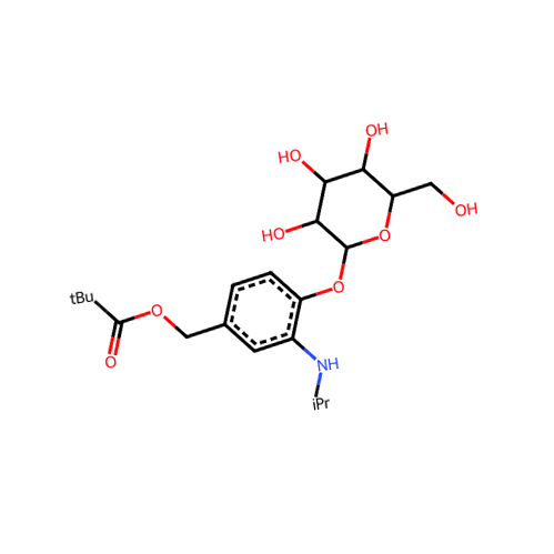 CC(C)Nc1cc(COC(=O)C(C)(C)C)ccc1OC1OC(CO)C(O)C(O)C1O